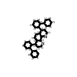 c1ccc(-c2ccccc2-c2ccnc3c2ccc2c(-c4ccccc4-c4ccccc4)ccnc23)cc1